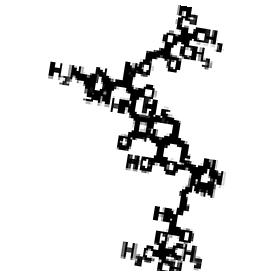 CC(C)(C)OC(=O)CO/N=C(\C(=O)NC1C(=O)N2C(C(=O)O)=C(CSc3nnnn3CCNC(=O)OC(C)(C)C)CS[C@H]12)c1nsc(N)n1